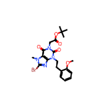 COc1ccccc1CCn1c(=O)n(CC(=O)OC(C)(C)C)c(=O)c2c1nc(Br)n2C